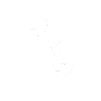 COc1nc(N)nc2c1ncn2[C@@H]1O[C@H](CON(C2CC2)/[P+]([O-])=N/C(C)C(=O)O)[C@@H](O)[C@@]1(C)O